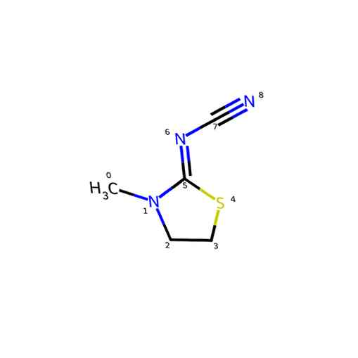 CN1CCSC1=NC#N